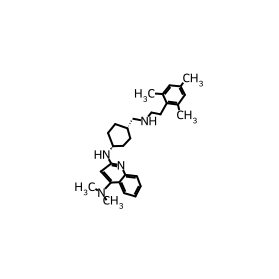 Cc1cc(C)c(CCNC[C@H]2CC[C@@H](Nc3cc(N(C)C)c4ccccc4n3)CC2)c(C)c1